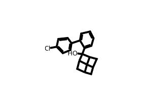 OC1(c2ccccc2-c2ccc(Cl)cc2)C2CC3CC4CC1C342